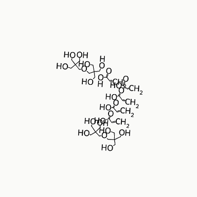 C=CC(=O)O.C=CC(=O)O.C=CC(=O)O.C=CC(=O)O.C=CC(=O)O.OCC(CO)(CO)COCC(CO)(CO)CO.OCC(CO)(CO)COCC(CO)(CO)CO